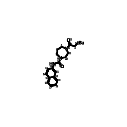 CC(C)(C)CC(=O)N1CCCN(C(=O)Nc2ccc3ccccc3c2)CC1